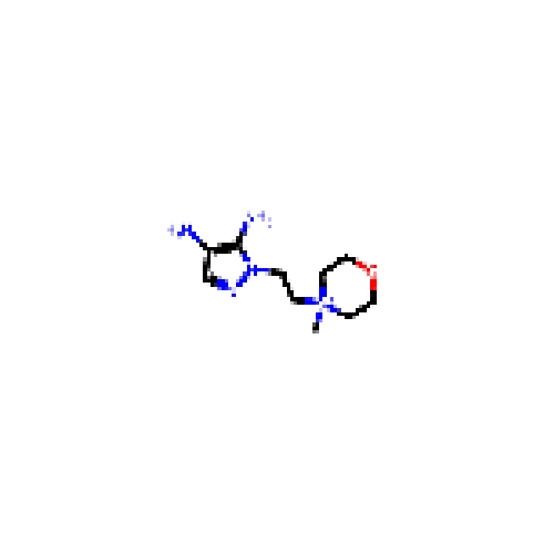 C[N+]1(CCn2ncc(N)c2N)CCOCC1